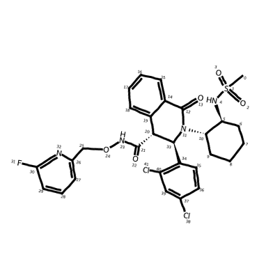 CS(=O)(=O)N[C@H]1CCCC[C@@H]1N1C(=O)c2ccccc2[C@@H](C(=O)NOCc2cccc(F)n2)[C@@H]1c1ccc(Cl)cc1Cl